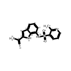 Cc1ncccc1S(=O)(=O)Nc1cccc2cc(C(N)=S)[nH]c12